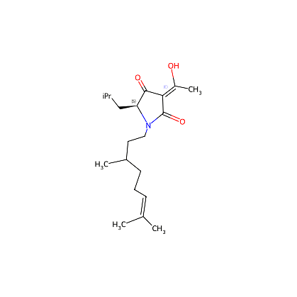 CC(C)=CCCC(C)CCN1C(=O)/C(=C(\C)O)C(=O)[C@@H]1CC(C)C